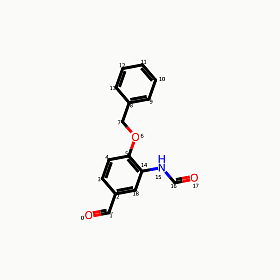 O=[C]c1ccc(OCc2ccccc2)c(NC=O)c1